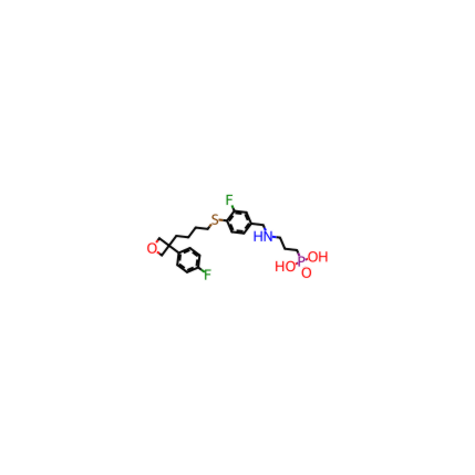 O=P(O)(O)CCCNCc1ccc(SCCCCC2(c3ccc(F)cc3)COC2)c(F)c1